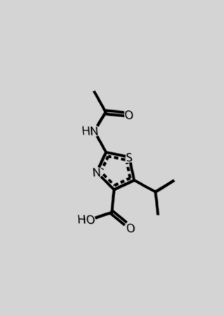 CC(=O)Nc1nc(C(=O)O)c(C(C)C)s1